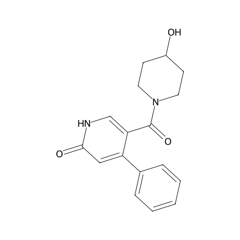 O=C(c1c[nH]c(=O)cc1-c1ccccc1)N1CCC(O)CC1